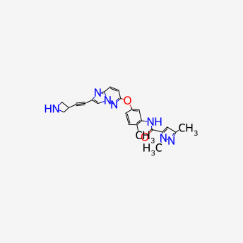 Cc1cc(C(=O)Nc2cc(Oc3ccc4nc(C#CC5CNC5)cn4n3)ccc2C)n(C)n1